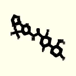 Nc1cc(F)ccc1-c1cc(F)c(C(=O)Nc2cnc(-n3nccn3)c(C(F)(F)F)c2)cc1F